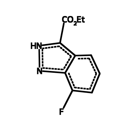 CCOC(=O)c1[nH]nc2c(F)cccc12